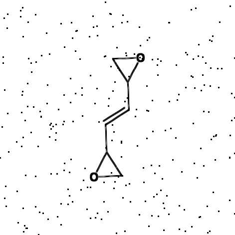 C(=C\C1CO1)/C1CO1